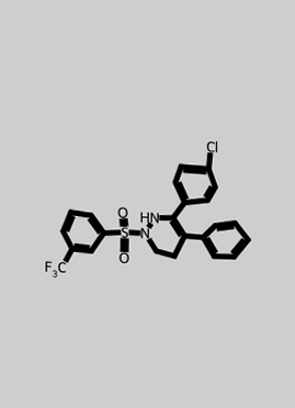 O=S(=O)(c1cccc(C(F)(F)F)c1)N1CCC(c2ccccc2)=C(c2ccc(Cl)cc2)N1